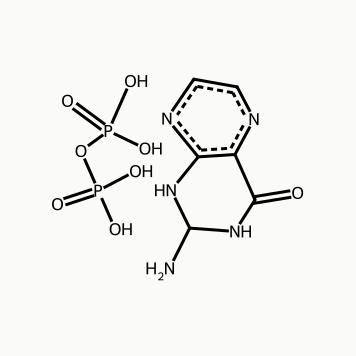 NC1NC(=O)c2nccnc2N1.O=P(O)(O)OP(=O)(O)O